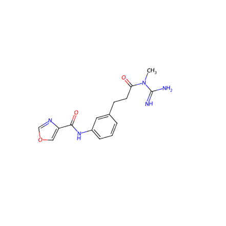 CN(C(=N)N)C(=O)CCc1cccc(NC(=O)c2cocn2)c1